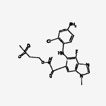 Bc1ccc(Nc2c(C(=O)NOCCS(C)(=O)=O)cc3c(ncn3C)c2F)c(Cl)c1